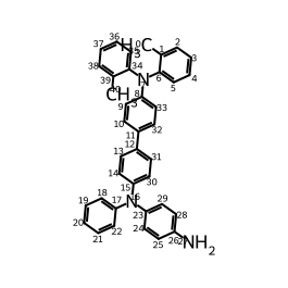 Cc1ccccc1N(c1ccc(-c2ccc(N(c3ccccc3)c3ccc(N)cc3)cc2)cc1)c1ccccc1C